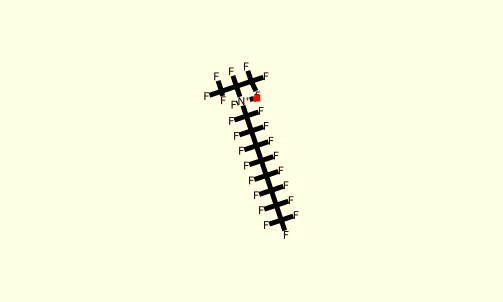 FC(F)(F)C(F)(F)C(F)(F)C(F)(F)C(F)(F)C(F)(F)C(F)(F)C(F)(F)[N+](F)(F)C(F)(C(F)(F)F)C(F)(F)F